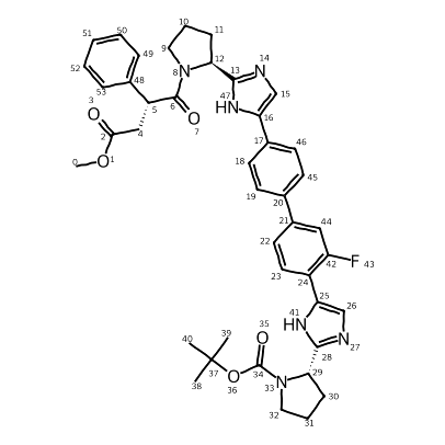 COC(=O)C[C@@H](C(=O)N1CCC[C@H]1c1ncc(-c2ccc(-c3ccc(-c4cnc([C@@H]5CCCN5C(=O)OC(C)(C)C)[nH]4)c(F)c3)cc2)[nH]1)c1ccccc1